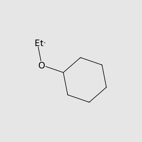 C[CH]OC1CCCCC1